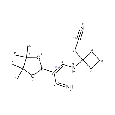 CC1(C)OB(/C(C=N)=C/NC2(CC#N)CCC2)OC1(C)C